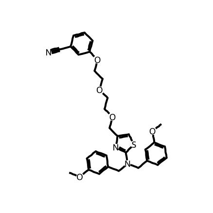 COc1cccc(CN(Cc2cccc(OC)c2)c2nc(COCCOCCOc3cccc(C#N)c3)cs2)c1